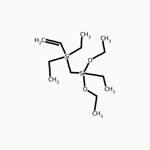 C=C[Si](CC)(CC)C[Si](CC)(OCC)OCC